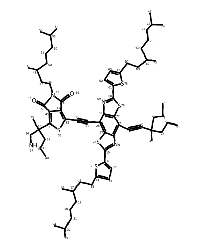 CCCC(C)(C#Cc1c2nc(-c3ccc(CCC(C)CCCC(C)C)s3)sc2c(C#Cc2sc(C(C)(CN)CCC)c3c2C(=O)N(CCC(C)CCCC(C)C)C3=O)c2nc(-c3ccc(CCC(C)CCCC(C)C)s3)sc12)CCC